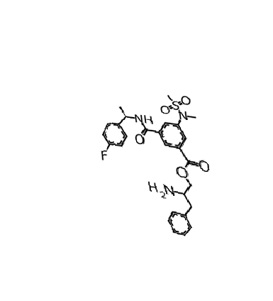 C[C@@H](NC(=O)c1cc(C(=O)OCC(N)Cc2ccccc2)cc(N(C)S(C)(=O)=O)c1)c1ccc(F)cc1